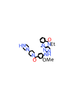 CCN1C(=O)c2ccccc2N(C)c2nc(Nc3ccc(C(=O)N4CCC(N5CCNCC5)CC4)cc3OC)ncc21